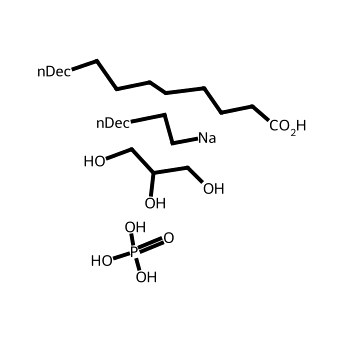 CCCCCCCCCCCCCCCCCC(=O)O.CCCCCCCCCCC[CH2][Na].O=P(O)(O)O.OCC(O)CO